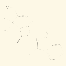 COC(=O)C(Br)(C(C)=O)N1C(=O)[C@H](N2C(=O)c3ccccc3C2=O)[C@H]1Cl